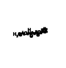 COCCOCNC(=O)CCCC(=O)OCc1ccccc1